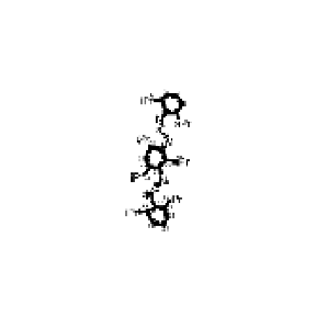 CC(C)c1cccc(C(C)C)c1N=C=Nc1c(C(C)C)cc(C(C)C)c(N=C=Nc2c(C(C)C)cccc2C(C)C)c1C(C)C